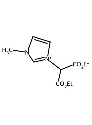 CCOC(=O)C(C(=O)OCC)[n+]1ccn(C)c1